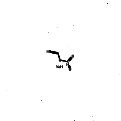 N=CO[SH](=O)=O.[NaH]